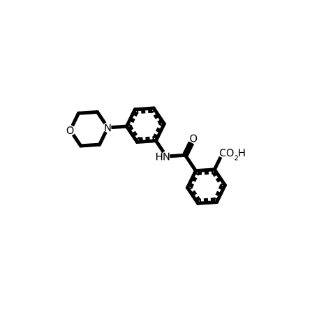 O=C(O)c1ccccc1C(=O)Nc1cccc(N2CCOCC2)c1